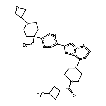 CCOC1(c2ccc(-c3cc4c(N5CCN(C(=O)[C@H]6C[C@H](C)C6)CC5)ccnn4c3)nc2)CCN(C2COC2)CC1